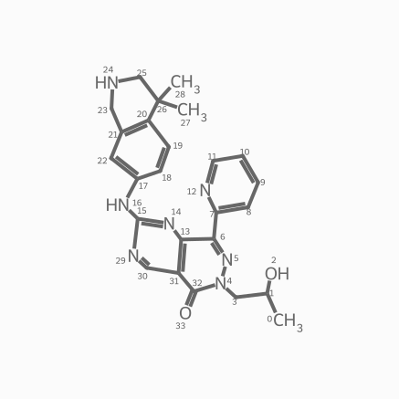 CC(O)Cn1nc(-c2ccccn2)c2nc(Nc3ccc4c(c3)CNCC4(C)C)ncc2c1=O